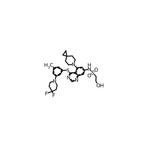 Cc1cc(Sc2ncnc3cc(NS(=O)(=O)CCO)cc(N4CCC5(CC4)CC5)c23)cc(N2CCC(F)(F)CC2)c1